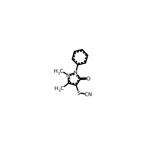 Cc1c(SC#N)c(=O)n(-c2ccccc2)n1C